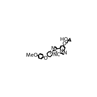 COc1ccc(OC2CCN(c3ncc(-c4cc(OCC5(O)CC5)cc5ncc(C#N)n45)s3)CC2)cc1